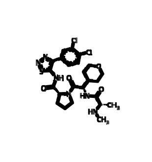 CN[C@@H](C)C(=O)N[C@H](C(=O)N1CCC[C@H]1C(=O)Nc1snnc1-c1ccc(Cl)c(Cl)c1)C1CCOCC1